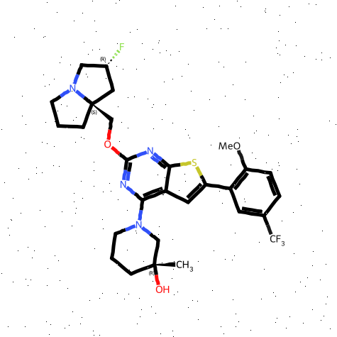 COc1ccc(C(F)(F)F)cc1-c1cc2c(N3CCC[C@@](C)(O)C3)nc(OC[C@@]34CCCN3C[C@H](F)C4)nc2s1